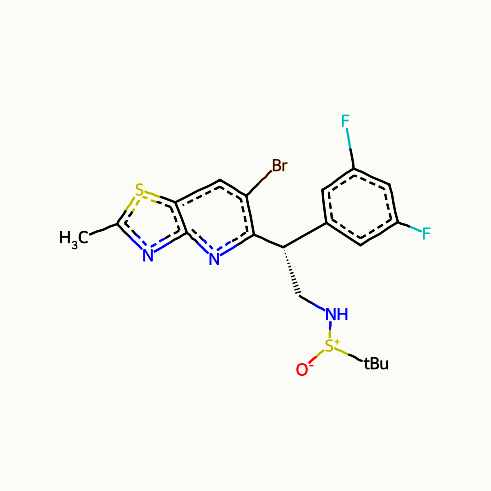 Cc1nc2nc([C@@H](CN[S+]([O-])C(C)(C)C)c3cc(F)cc(F)c3)c(Br)cc2s1